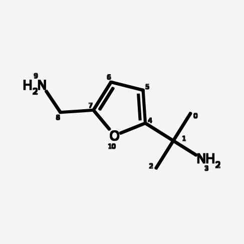 CC(C)(N)c1ccc(CN)o1